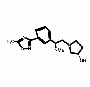 CN[C@H](CN1CC[C@H](O)C1)c1cccc(-c2noc(C(F)(F)F)n2)c1